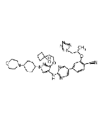 CC(Cn1cnnn1)Oc1cc(-c2cnc(Nc3cn(C4CCC(N5CCOCC5)CC4)nc3OCCC3(O)CCC3)nc2)ccc1C#N